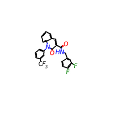 O=C(NCc1ccc(F)c(F)c1)c1cc2ccccc2n(-c2cccc(C(F)(F)F)c2)c1=O